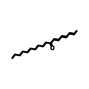 CC=CC=CC=CC(=O)CCCCCCCCCC